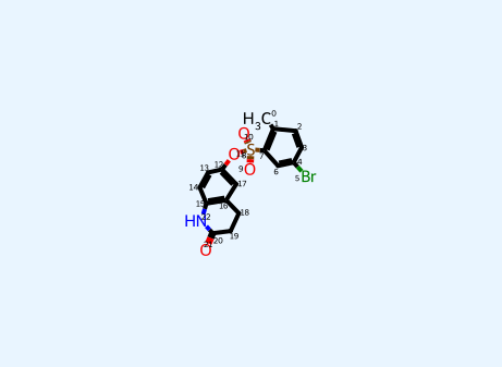 Cc1ccc(Br)cc1S(=O)(=O)Oc1ccc2c(c1)CCC(=O)N2